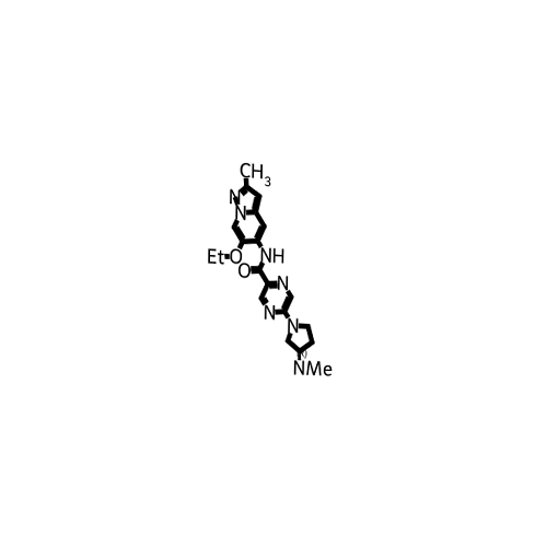 CCOc1cn2nc(C)cc2cc1NC(=O)c1cnc(N2CC[C@@H](NC)C2)cn1